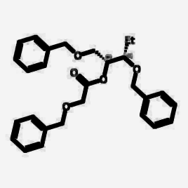 CC[C@H](OCc1ccccc1)[C@@H](COCc1ccccc1)OC(=O)COCc1ccccc1